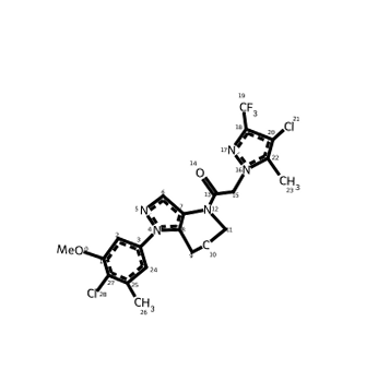 COc1cc(-n2ncc3c2CCCN3C(=O)Cn2nc(C(F)(F)F)c(Cl)c2C)cc(C)c1Cl